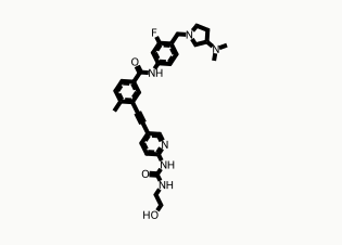 Cc1ccc(C(=O)Nc2ccc(CN3CCC(N(C)C)C3)c(F)c2)cc1C#Cc1ccc(NC(=O)NCCO)nc1